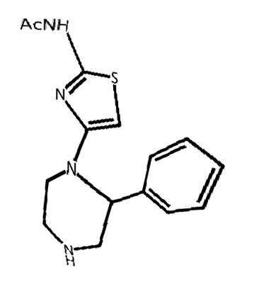 CC(=O)Nc1nc(N2CCNCC2c2ccccc2)cs1